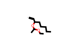 [CH]=CC(CCCCC)OC(C)OCC